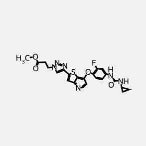 COC(=O)CCn1cc(-c2cc3nccc(Oc4ccc(NC(=O)NC5CC5)cc4F)c3s2)nn1